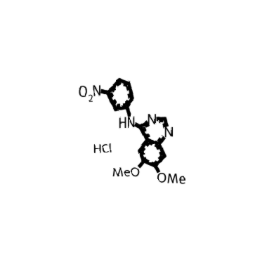 COc1cc2ncnc(Nc3cccc([N+](=O)[O-])c3)c2cc1OC.Cl